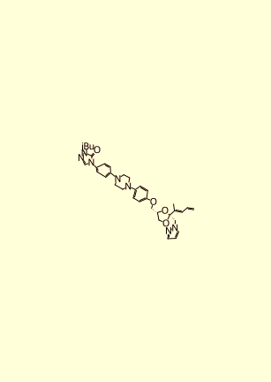 C=C/C=C(\C)[C@@]1(Cn2cccn2)OC[C@H](COc2ccc(N3CCN(c4ccc(-n5cnn([C@@H](C)CC)c5=O)cc4)CC3)cc2)O1